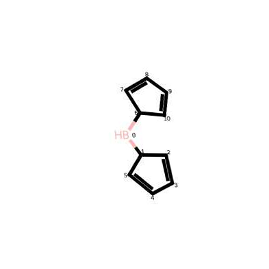 B(C1C=CC=C1)C1C=CC=C1